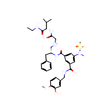 CCNC(=O)[C@@H](NC(=O)[C@H](C)NC[C@H](Cc1ccccc1)NC(=O)c1cc(C(=O)NCc2ccc(OC)c(O)c2)cc(N(C)S(C)(=O)=O)c1)C(C)C